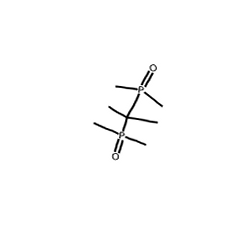 CC(C)(P(C)(C)=O)P(C)(C)=O